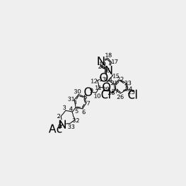 CC(=O)N1CCC(c2ccc(OCC3COC(Cn4ccnc4)(c4ccc(Cl)cc4Cl)O3)cc2)CC1